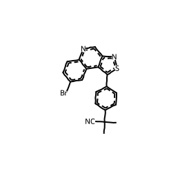 CC(C)(C#N)c1ccc(-c2snc3cnc4ccc(Br)cc4c23)cc1